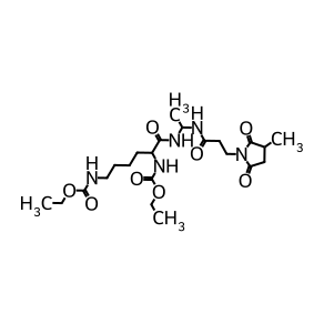 CCOC(=O)NCCCCC(NC(=O)OCC)C(=O)NC(C)NC(=O)CCN1C(=O)CC(C)C1=O